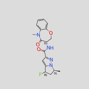 C[C@H]1C[C@@H](F)c2cc(C(=O)N[C@H]3COc4ccccc4N(C)C3=O)nn21